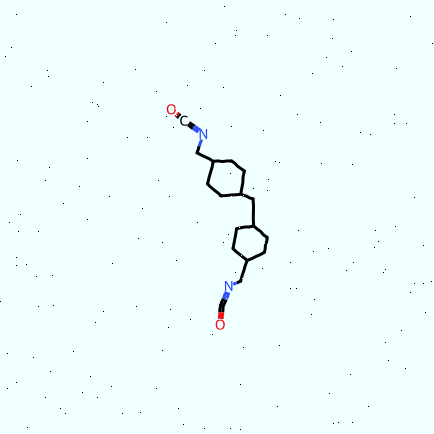 O=C=NCC1CCC(CC2CCC(CN=C=O)CC2)CC1